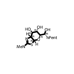 CCCCC[C@@H](O)[C@H]1O[C@@H]2SC(NC)=N[C@@H]2[C@@H](O)[C@@H]1O